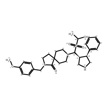 COc1ccc(CN2CCC3(CCN(C([C@@H]4CNC[C@@H]4c4ccccc4)S(=O)(=O)C(C)C)CC3)C2=O)cc1